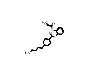 C=CC(=O)Oc1ccccc1OC(=O)C1CCC(CCCCC)CC1